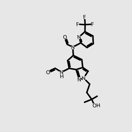 CC(C)(O)CCn1cc2cc(N(C=O)c3cccc(C(F)(F)F)n3)cc(NC=O)c2n1